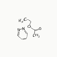 CCOC(C)=O.c1ccnnc1